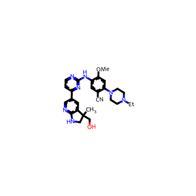 CCN1CCN(c2cc(OC)c(Nc3nccc(-c4cnc5c(c4)C(C)(CO)CN5)n3)cc2C#N)CC1